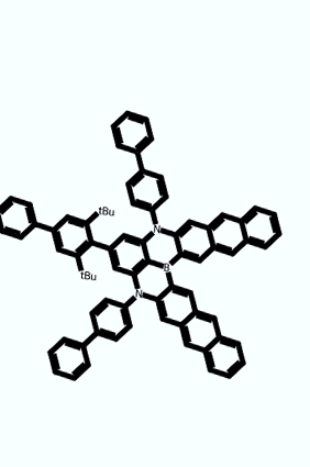 CC(C)(C)c1cc(-c2ccccc2)cc(C(C)(C)C)c1-c1cc2c3c(c1)N(c1ccc(-c4ccccc4)cc1)c1cc4cc5ccccc5cc4cc1B3c1cc3cc4ccccc4cc3cc1N2c1ccc(-c2ccccc2)cc1